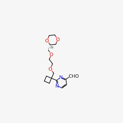 O=Cc1ccnc(C2(COCCOC[C@H]3COCCO3)CCC2)n1